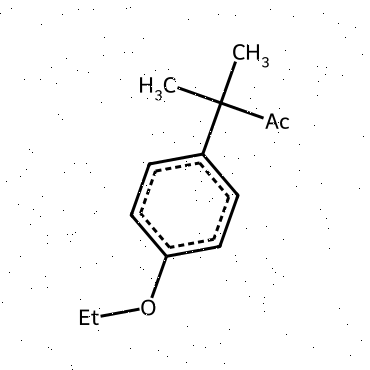 CCOc1ccc(C(C)(C)C(C)=O)cc1